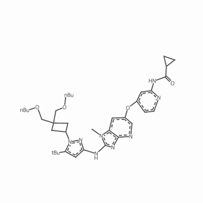 CCCCOCC1(COCCCC)CC(n2nc(Nc3nc4ncc(Oc5ccnc(NC(=O)C6CC6)c5)cc4n3C)cc2C(C)(C)C)C1